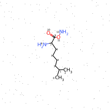 CC(C)CCCCC(N)C(=O)ON